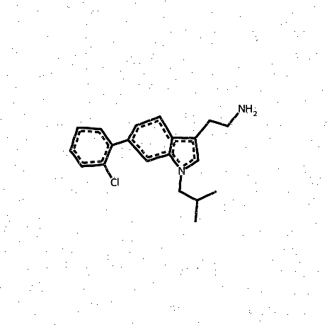 CC(C)Cn1cc(CCN)c2ccc(-c3ccccc3Cl)cc21